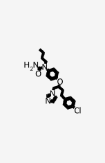 CCCCN(C(N)=O)c1ccc(OC(CCc2ccc(Cl)cc2)Cn2ccnc2)cc1